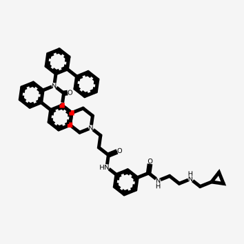 O=C(CCN1CCC(OC(=O)N(c2ccccc2-c2ccccc2)c2ccccc2-c2ccccc2)CC1)Nc1cccc(C(=O)NCCNCC2CC2)c1